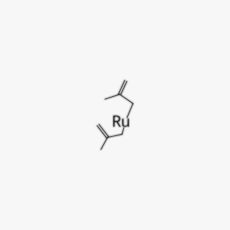 C=C(C)[CH2][Ru][CH2]C(=C)C